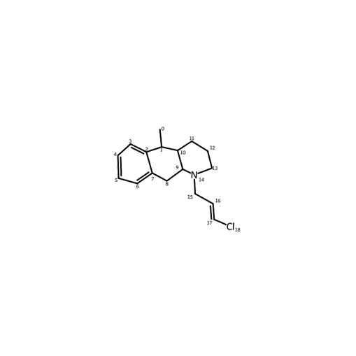 CC1c2ccccc2CC2C1CCCN2CC=CCl